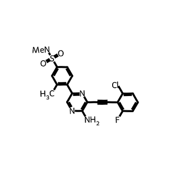 CNS(=O)(=O)c1ccc(-c2cnc(N)c(C#Cc3c(F)cccc3Cl)n2)c(C)c1